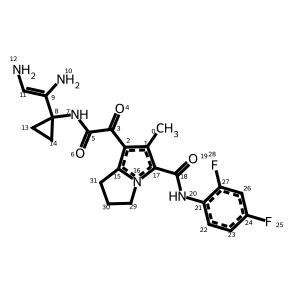 Cc1c(C(=O)C(=O)NC2(/C(N)=C/N)CC2)c2n(c1C(=O)Nc1ccc(F)cc1F)CCC2